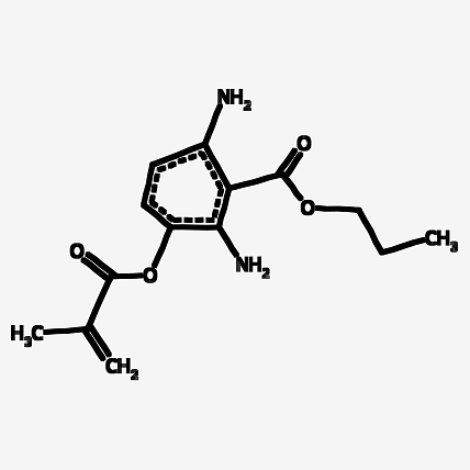 C=C(C)C(=O)Oc1ccc(N)c(C(=O)OCCC)c1N